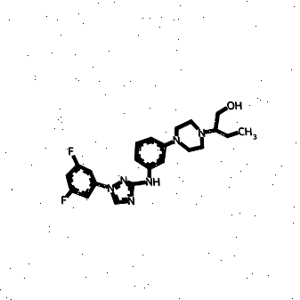 CCC(CO)N1CCN(c2cccc(Nc3ncn(-c4cc(F)cc(F)c4)n3)c2)CC1